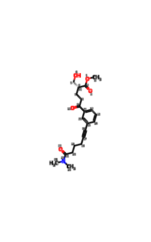 COC(=O)[C@@H](CO)CCC(=O)c1cccc(C#CCCCC(=O)N(C)C)c1